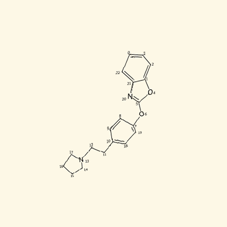 c1ccc2oc(Oc3ccc(CCN4CCCC4)cc3)nc2c1